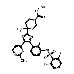 Cc1nccc(-c2sc(C3(C)CCN(C(=O)OC(C)(C)C)CC3)nc2-c2cccc(NS(=O)(=O)c3c(F)cccc3F)c2F)n1